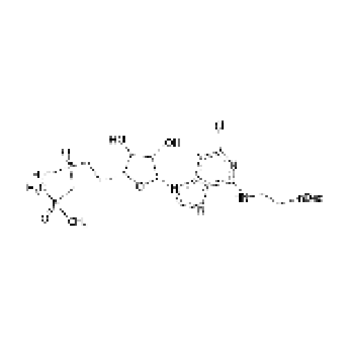 CCCCCCCCCCCCNc1nc(Cl)nc2c1ncn2[C@@H]1O[C@H](CCP(C)(=O)CP(C)(C)=O)C(O)[C@@H]1O